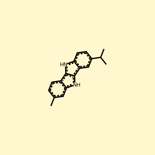 Cc1ccc2c(c1)[nH]c1c3cc(C(C)C)ccc3[nH]c21